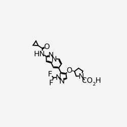 O=C(Nc1cc2cc(-c3c(O[C@H]4CCN(C(=O)O)C4)cnn3C(F)F)ccn2n1)C1CC1